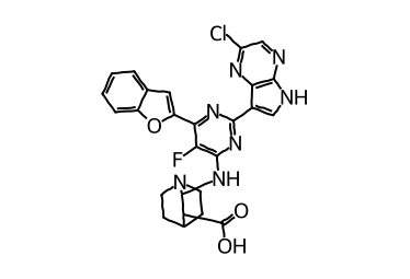 O=C(O)C1C2CCN(CC2)C1Nc1nc(-c2c[nH]c3ncc(Cl)nc23)nc(-c2cc3ccccc3o2)c1F